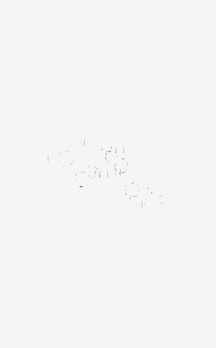 CCC(O)Nc1cncc(-c2ccc3[nH]nc(-c4cc5c(-c6cc(O)cc(F)c6)cccc5[nH]4)c3n2)c1